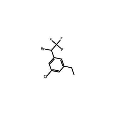 CCc1cc(Cl)cc(C(Br)C(F)(F)F)c1